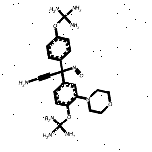 NC#CC(N=O)(c1ccc(OC(N)(N)N)cc1)c1ccc(OC(N)(N)N)c(N2CCOCC2)c1